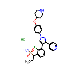 CCC(c1cccc(-c2cn(-c3ccc(OC4CCNCC4)cc3)nc2-c2ccncc2)c1F)S(N)(=O)=O.Cl